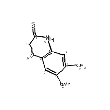 COc1cc2c(cc1C(F)(F)F)NC(=O)CO2